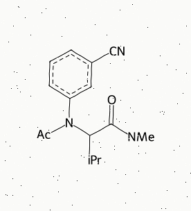 CNC(=O)C(C(C)C)N(C(C)=O)c1cccc(C#N)c1